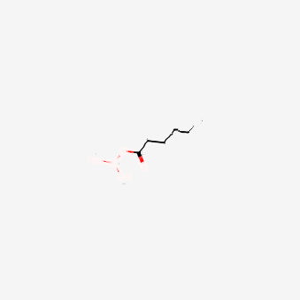 CCCCCC(=O)OB(O)O